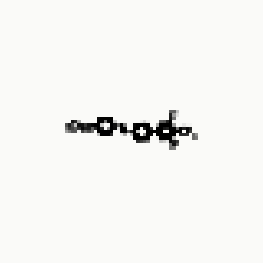 CCCCCCCCCC[C@H]1CC[C@H](C=C[C@H]2CC[C@H](c3cc(F)c(C(F)(F)F)c(F)c3)CC2)CC1